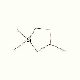 CC1CC[Si](C)(C)C1